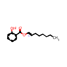 CCCCCC/C=C/OC(=O)c1ccccc1O